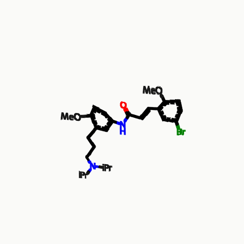 COc1ccc(Br)cc1C=CC(=O)Nc1ccc(OC)c(CCCN(C(C)C)C(C)C)c1